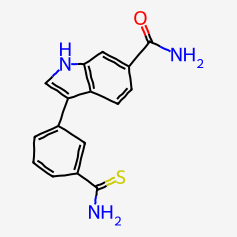 NC(=O)c1ccc2c(-c3cccc(C(N)=S)c3)c[nH]c2c1